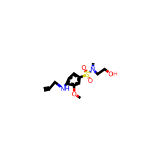 C#CCNc1ccc(S(=O)(=O)N(C)CCO)cc1OC